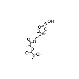 C[C@H](O)C(=O)O[C@H](C)C(=O)OCOC(=O)[C@@H](C)OC(=O)[C@H](C)O